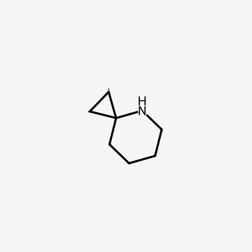 [CH]1CC12CCCCN2